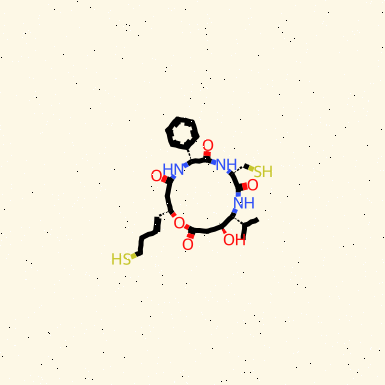 CC(C)[C@H]1NC(=O)[C@@H](CS)NC(=O)[C@@H](c2ccccc2)NC(=O)C[C@@H](/C=C/CCS)OC(=O)C[C@@H]1O